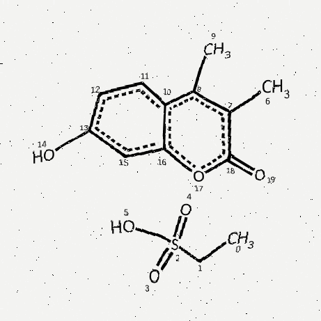 CCS(=O)(=O)O.Cc1c(C)c2ccc(O)cc2oc1=O